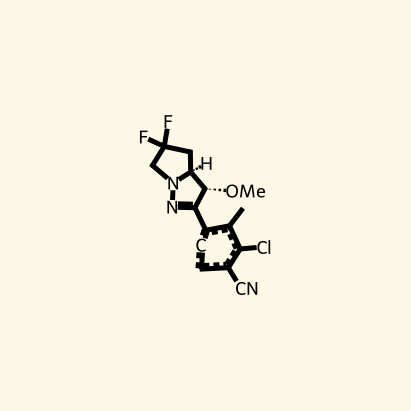 CO[C@@H]1C(c2ccc(C#N)c(Cl)c2C)=NN2CC(F)(F)C[C@@H]12